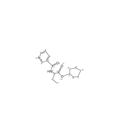 CCC(NC(=O)c1cccnc1)C(=O)OC1CCCCC1